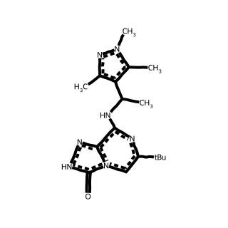 Cc1nn(C)c(C)c1C(C)Nc1nc(C(C)(C)C)cn2c(=O)[nH]nc12